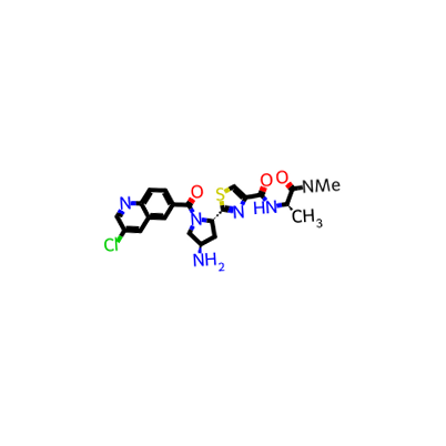 CNC(=O)[C@H](C)NC(=O)c1csc([C@@H]2C[C@@H](N)CN2C(=O)c2ccc3ncc(Cl)cc3c2)n1